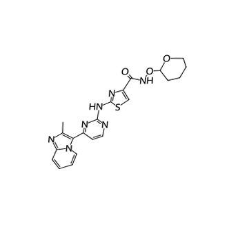 Cc1nc2ccccn2c1-c1ccnc(Nc2nc(C(=O)NOC3CCCCO3)cs2)n1